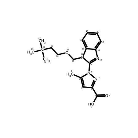 Cc1cc(C(=O)O)nn1-c1nc2ccccc2n1COCC[Si](C)(C)C